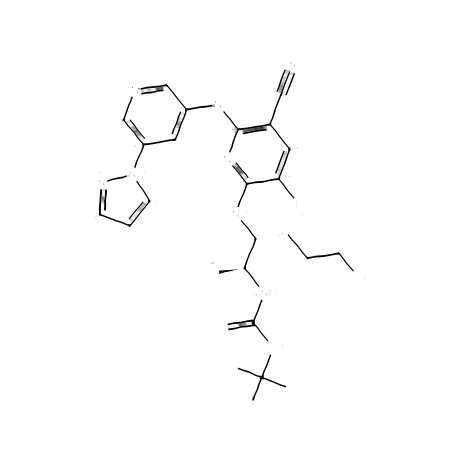 CCCC[C@@H](Nc1nc(Nc2cncc(-n3cccn3)c2)c(C#N)cc1F)[C@H](C)NC(=O)OC(C)(C)C